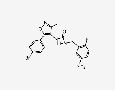 Cc1noc(-c2ccc(Br)cc2)c1NC(=O)NCc1cc(C(F)(F)F)ccc1F